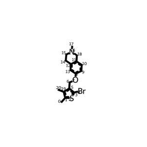 Cc1sc(Br)c(COc2ccc3c(c2)CCN(C)C3)c1C